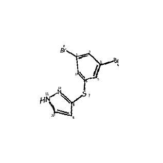 Brc1cc(Br)cc(Sc2cc[nH]n2)c1